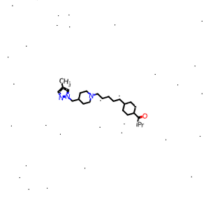 Cc1cnn(CC2CCN(CCCCCC3CCC(C(=O)C(C)C)CC3)CC2)c1